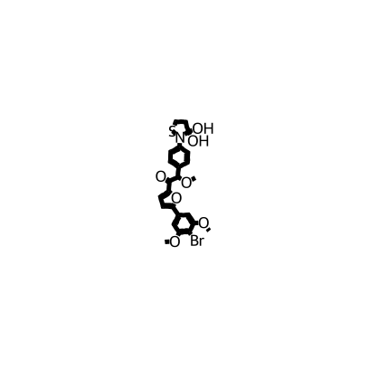 COc1cc(-c2ccc(C(=O)C(OC)c3ccc(N4SCCC4(O)O)cc3)o2)cc(OC)c1Br